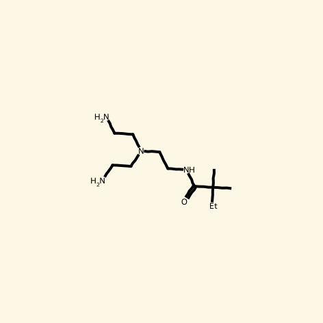 CCC(C)(C)C(=O)NCCN(CCN)CCN